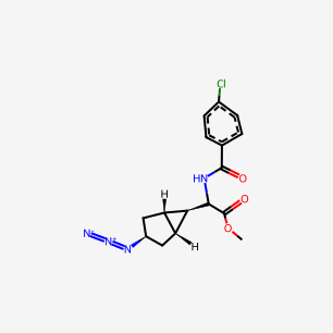 COC(=O)C(NC(=O)c1ccc(Cl)cc1)[C@H]1[C@@H]2C[C@@H](N=[N+]=[N-])C[C@@H]21